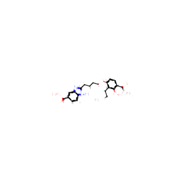 CCCc1c(OCCCCc2nc3cc(C(=O)O)ccc3[nH]2)ccc(C(C)=O)c1O